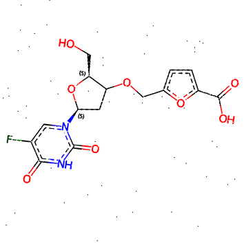 O=C(O)c1ccc(COC2C[C@@H](n3cc(F)c(=O)[nH]c3=O)O[C@H]2CO)o1